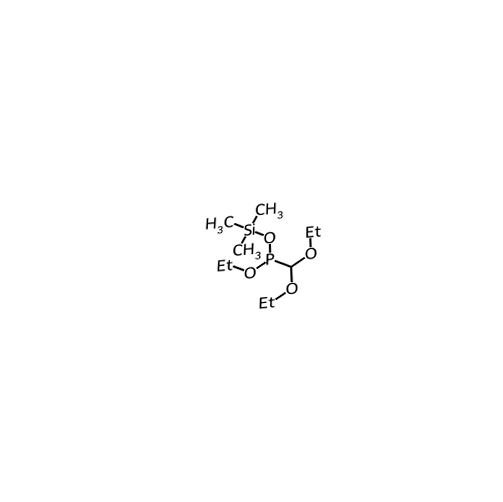 CCOC(OCC)P(OCC)O[Si](C)(C)C